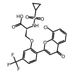 O=C(O)[C@H](COc1cc(C(F)(F)F)ccc1-c1cc(=O)c2cccc(Cl)c2o1)NS(=O)(=O)C1CC1